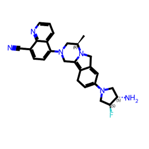 C[C@@H]1CN(c2ccc(C#N)c3ncccc23)CC2=C3CC=C(N4C[C@H](N)[C@@H](F)C4)C=C3CN21